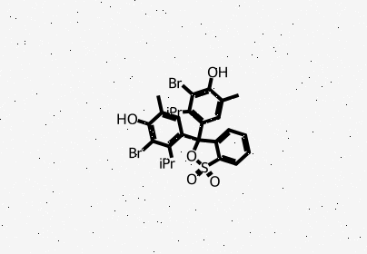 Cc1cc(C2(c3cc(C)c(O)c(Br)c3C(C)C)OS(=O)(=O)c3ccccc32)c(C(C)C)c(Br)c1O